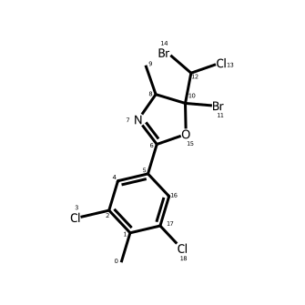 Cc1c(Cl)cc(C2=NC(C)C(Br)(C(Cl)Br)O2)cc1Cl